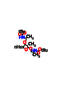 CCCCCCC(OC[C@@H](C)NC(=O)OC(C)(C)C)[C@H](C)C(=O)OC[C@@H](C)NC(=O)OC(C)(C)C